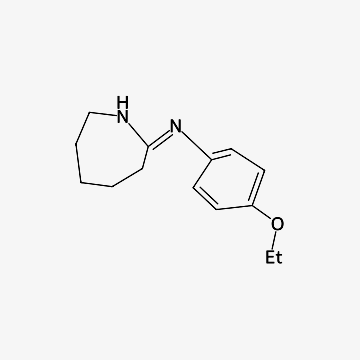 CCOc1ccc(/N=C2\CCCCCN2)cc1